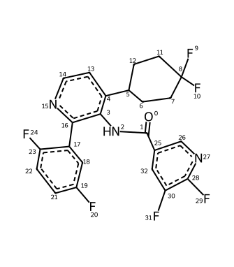 O=C(Nc1c(C2CCC(F)(F)CC2)ccnc1-c1cc(F)ccc1F)c1cnc(F)c(F)c1